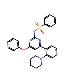 O=S(=O)(Nc1nc(Oc2ccccc2)cc(-c2ccccc2N2CCCCC2)n1)c1ccccc1